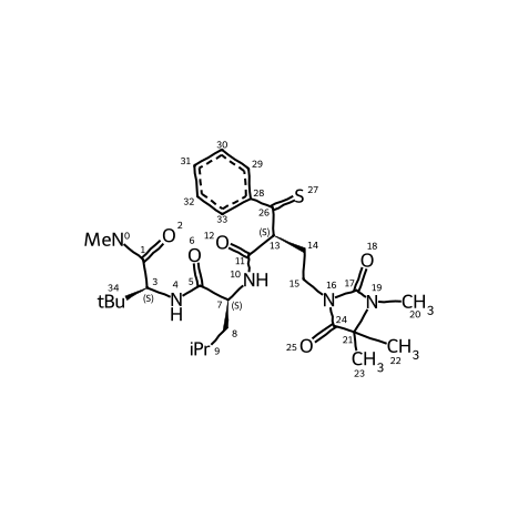 CNC(=O)[C@@H](NC(=O)[C@H](CC(C)C)NC(=O)[C@H](CCN1C(=O)N(C)C(C)(C)C1=O)C(=S)c1ccccc1)C(C)(C)C